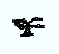 CCCCCCCCCCCCCCC1(C(CCCCCCCCCCCCC)(CCCCCCCCCCCCC)CCCCCCCCCCCCC)c2ccc(cc2)OP(=O)(O)Oc2ccc1cc2